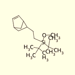 CO[Si](CCC1CC2C=CC1C2)(C(C)(C)C)C(C)(C)C